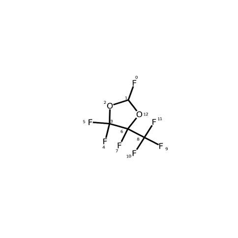 FC1OC(F)(F)C(F)(C(F)(F)F)O1